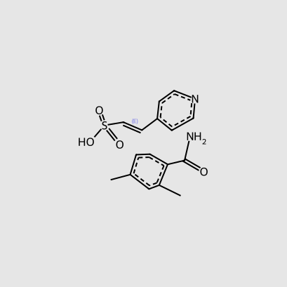 Cc1ccc(C(N)=O)c(C)c1.O=S(=O)(O)/C=C/c1ccncc1